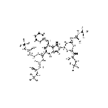 CC(C)(C)OC(=O)NC1CC(NC(=O)OC(C)(C)C)CN(c2nc(Nc3ccccc3)c3[nH]c(N4CC(NC(=O)OC(C)(C)C)CC(NC(=O)OC(C)(C)C)C4)nc3n2)C1